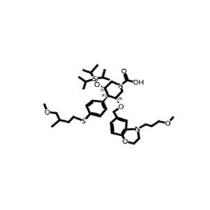 COCCCN1CCOc2ccc(CO[C@H]3CN(C(=O)O)C[C@@H](O[Si](C(C)C)(C(C)C)C(C)C)[C@@H]3c3ccc(SCCC(C)COC)cc3)cc21